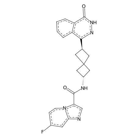 O=C(N[C@H]1CC2(C1)C[C@H](c1n[nH]c(=O)c3ccccc31)C2)c1cnc2cc(F)ccn12